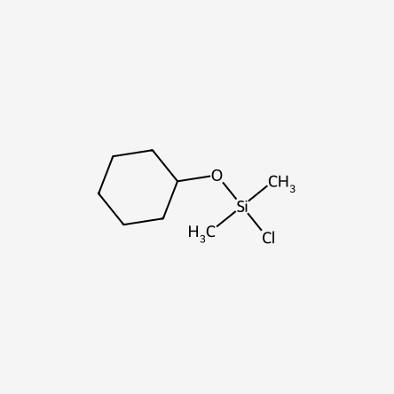 C[Si](C)(Cl)OC1CCCCC1